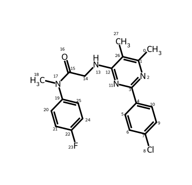 Cc1nc(-c2ccc(Cl)cc2)nc(NCC(=O)N(C)c2ccc(F)cc2)c1C